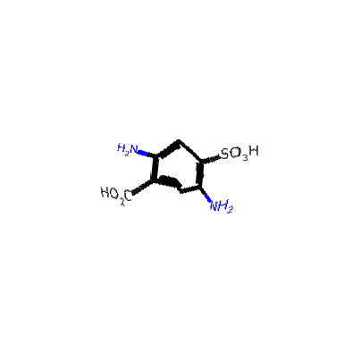 Nc1cc(S(=O)(=O)O)c(N)cc1C(=O)O